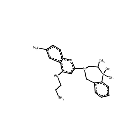 Cc1ccc2nc(N3Cc4ccccc4S(O)(O)C(C)C3)cc(NCCN)c2c1